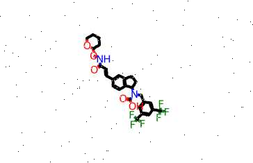 O=C(C=Cc1ccc2c(c1)CCC2N(Cc1cc(C(F)(F)F)cc(C(F)(F)F)c1)C(=O)O)NOC1CCCCO1